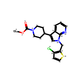 CC(C)(C)OC(=O)N1CCC(c2cn(Cc3sccc3Cl)c3ncccc23)CC1